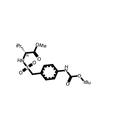 COC(=O)[C@H](NS(=O)(=O)Cc1ccc(NC(=O)OC(C)(C)C)cc1)C(C)C